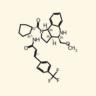 COC[C@@H]1Nc2ccccc2[C@H]2[C@@H]1CCN2C(=O)[C@H]1CCCC[C@H]1NC(=O)/C=C/c1ccc(C(F)(F)F)cc1